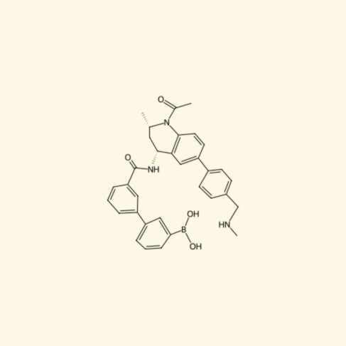 CNCc1ccc(-c2ccc3c(c2)[C@H](NC(=O)c2cccc(-c4cccc(B(O)O)c4)c2)C[C@H](C)N3C(C)=O)cc1